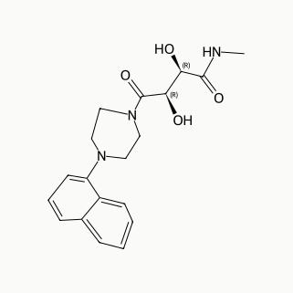 CNC(=O)[C@H](O)[C@@H](O)C(=O)N1CCN(c2cccc3ccccc23)CC1